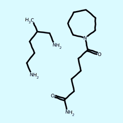 CC(CN)CCCN.NC(=O)CCCCC(=O)N1CCCCCC1